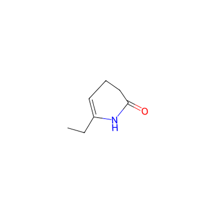 CCC1=CCCC(=O)N1